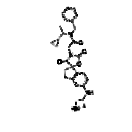 CC(C1CC1)N(Cc1ccccc1)C(=O)CN1C(=O)OC2(CCc3cc(NC4CNC4)ccc32)C1=O